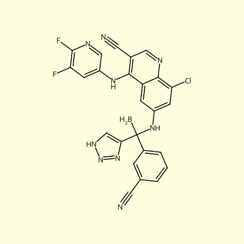 BC(Nc1cc(Cl)c2ncc(C#N)c(Nc3cnc(F)c(F)c3)c2c1)(c1cccc(C#N)c1)c1c[nH]nn1